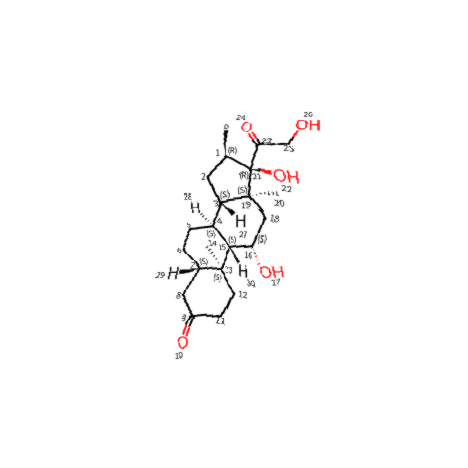 C[C@@H]1C[C@H]2[C@@H]3CC[C@H]4CC(=O)CC[C@]4(C)[C@H]3[C@@H](O)C[C@]2(C)[C@@]1(O)C(=O)CO